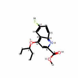 CCC(CC)Oc1cc(C(=O)OC)nc2ccc(F)cc12